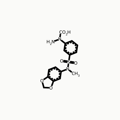 CN(c1ccc2c(c1)OCO2)S(=O)(=O)c1cccc(N(N)C(=O)O)c1